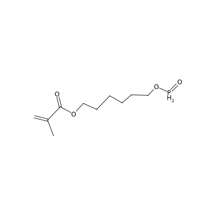 C=C(C)C(=O)OCCCCCCO[PH2]=O